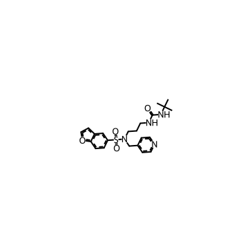 CC(C)(C)NC(=O)NCCCN(Cc1ccncc1)S(=O)(=O)c1ccc2occc2c1